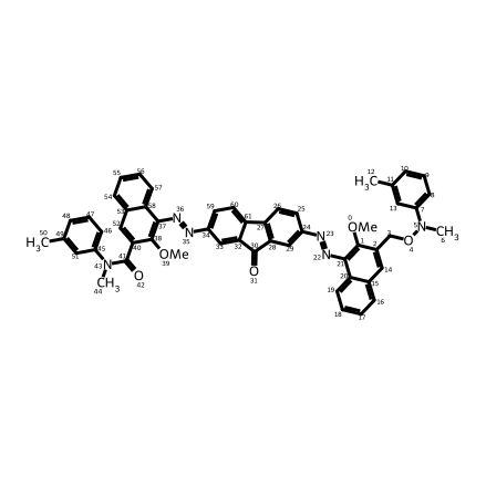 COc1c(CON(C)c2cccc(C)c2)cc2ccccc2c1N=Nc1ccc2c(c1)C(=O)c1cc(N=Nc3c(OC)c(C(=O)N(C)c4cccc(C)c4)cc4ccccc34)ccc1-2